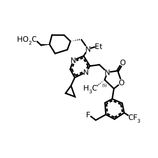 CCN(C[C@H]1CC[C@H](CC(=O)O)CC1)c1ncc(C2CC2)nc1CN1C(=O)OC(c2cc(CF)cc(C(F)(F)F)c2)[C@@H]1C